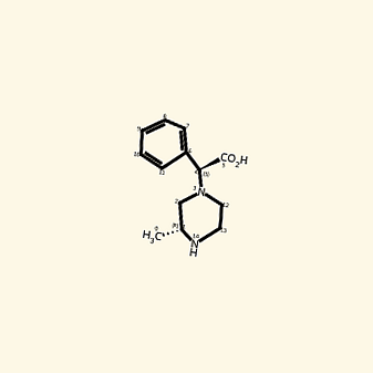 C[C@@H]1CN([C@H](C(=O)O)c2ccccc2)CCN1